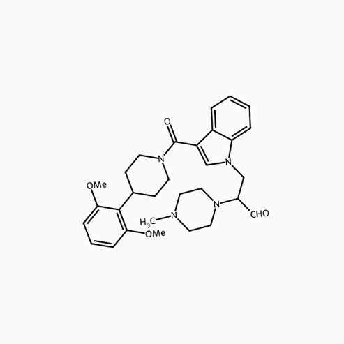 COc1cccc(OC)c1C1CCN(C(=O)c2cn(CC(C=O)N3CCN(C)CC3)c3ccccc23)CC1